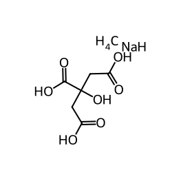 C.O=C(O)CC(O)(CC(=O)O)C(=O)O.[NaH]